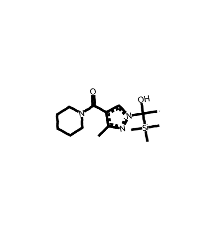 [CH2]C(O)(n1cc(C(=O)N2CCCCC2)c(C)n1)[Si](C)(C)C